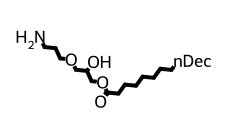 CCCCCCCCCCCCCCCCCC(=O)OCC(O)COCCCN